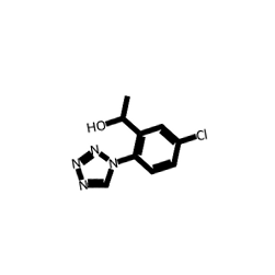 CC(O)c1cc(Cl)ccc1-n1cnnn1